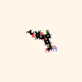 CC(C)=CCOc1c(C)c(C)c2c(c1C)CCC(C)(COc1ccc(/C=C3\SC(=O)NC3=O)cc1-c1ccc(F)cc1)O2